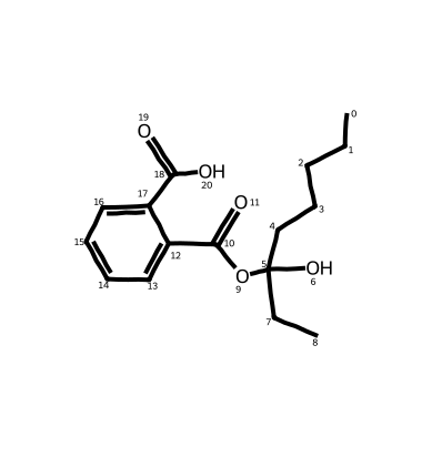 CCCCCC(O)(CC)OC(=O)c1ccccc1C(=O)O